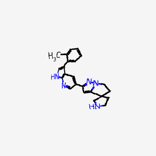 Cc1ccccc1-c1c[nH]c2ncc(-c3cc4n(n3)CCC43CCNC3)cc12